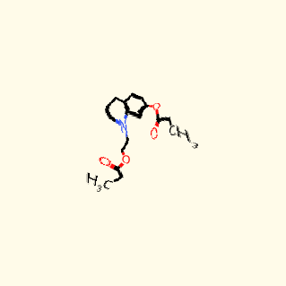 CCC(=O)OCCN1CCCc2ccc(OC(=O)CC)cc21